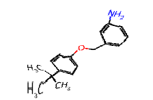 CC(C)(C)c1ccc(OCc2cccc(N)c2)cc1